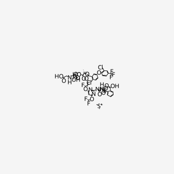 C[C@H](OC(=O)c1cc(Oc2ccc(C(F)(F)F)cc2Cl)ccc1Cl)C(=O)O.C[S+](C)C.O=C(Nc1nc(OC(F)F)cc(OC(F)F)n1)NS(=O)(=O)c1ccccc1C(=O)O.O=C(O)CNCP(=O)([O-])O